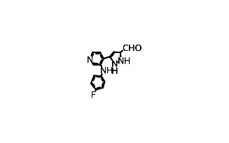 O=CC1C=C(c2ccncc2Nc2ccc(F)cc2)NN1